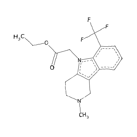 CCOC(=O)Cn1c2c(c3cccc(C(F)(F)F)c31)CN(C)CC2